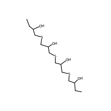 CCC(O)CSCC(O)CSCC(O)CSCC(O)CC